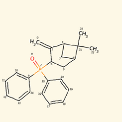 C=C1C2CC(CC1P(=O)(c1ccccc1)c1ccccc1)C2(C)C